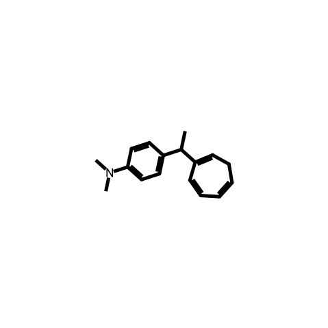 CC(C1=CCC=CC=C1)c1ccc(N(C)C)cc1